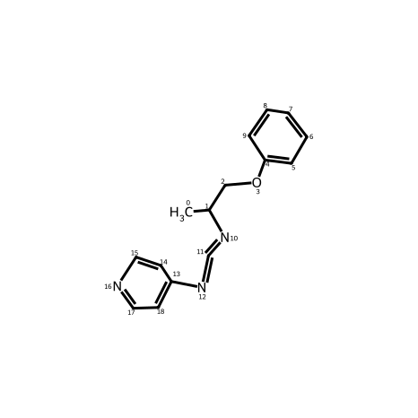 CC(COc1ccccc1)N=C=Nc1ccncc1